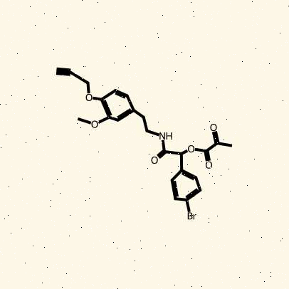 C#CCOc1ccc(CCNC(=O)C(OC(=O)C(C)=O)c2ccc(Br)cc2)cc1OC